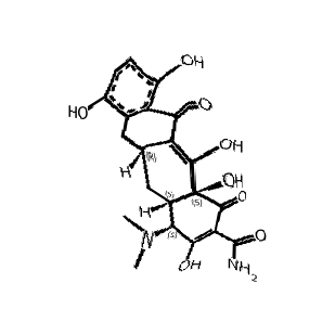 CN(C)[C@@H]1C(O)=C(C(N)=O)C(=O)[C@@]2(O)C(O)=C3C(=O)c4c(O)ccc(O)c4C[C@H]3C[C@@H]12